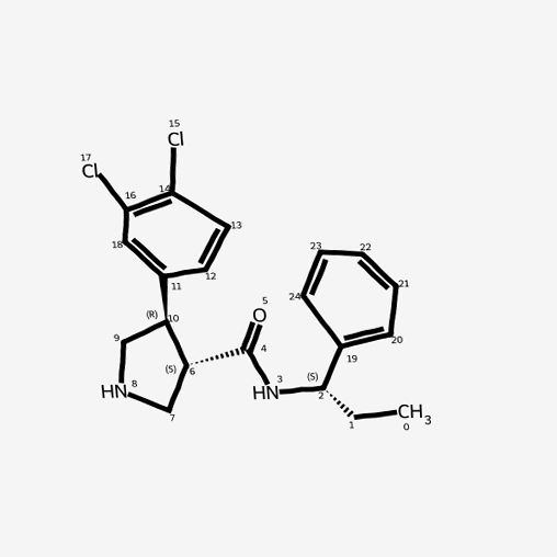 CC[C@H](NC(=O)[C@@H]1CNC[C@H]1c1ccc(Cl)c(Cl)c1)c1ccccc1